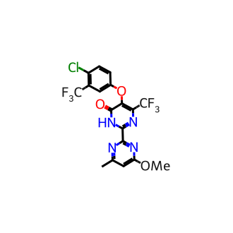 COc1cc(C)nc(-c2nc(C(F)(F)F)c(Oc3ccc(Cl)c(C(F)(F)F)c3)c(=O)[nH]2)n1